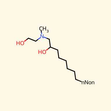 CCCCCCCCCCCCCCCC(O)CN(C)CCO